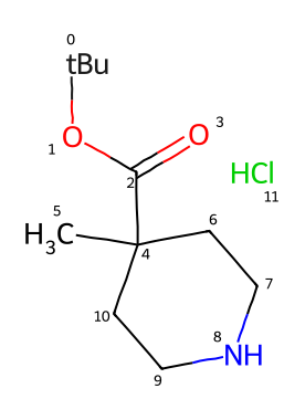 CC(C)(C)OC(=O)C1(C)CCNCC1.Cl